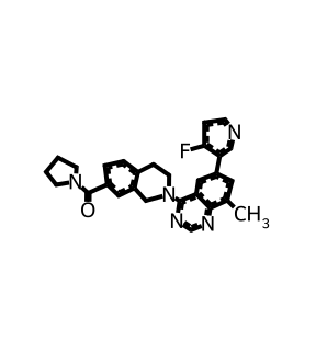 Cc1cc(-c2cnccc2F)cc2c(N3CCc4ccc(C(=O)N5CCCC5)cc4C3)ncnc12